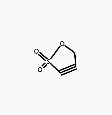 O=S1(=O)C#CCO1